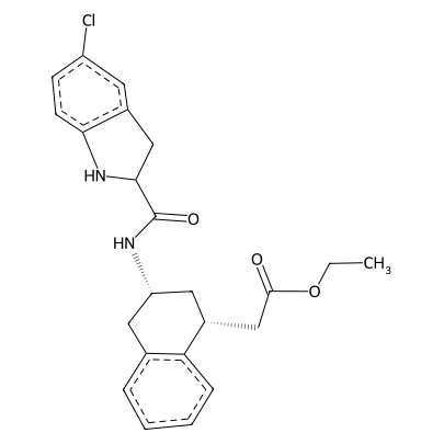 CCOC(=O)C[C@H]1C[C@@H](NC(=O)C2Cc3cc(Cl)ccc3N2)Cc2ccccc21